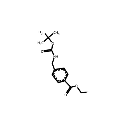 CC(C)(C)OC(=O)NCc1ccc(C(=O)OCCl)cc1